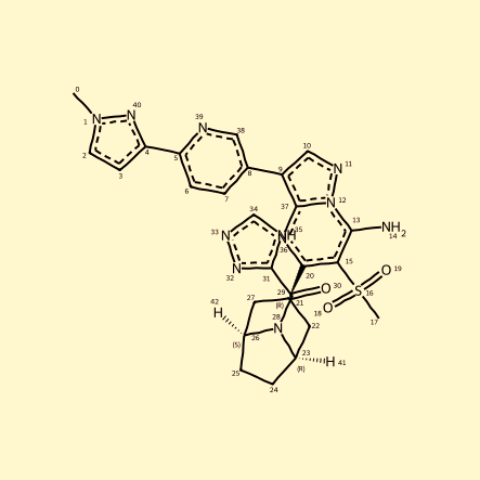 Cn1ccc(-c2ccc(-c3cnn4c(N)c(S(C)(=O)=O)c([C@H]5C[C@H]6CC[C@@H](C5)N6C(=O)c5nnc[nH]5)nc34)cn2)n1